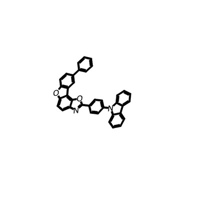 c1ccc(-c2ccc3oc4ccc5nc(-c6ccc(-n7c8ccccc8c8ccccc87)cc6)oc5c4c3c2)cc1